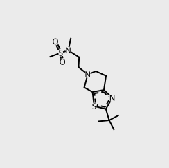 CN(CCN1CCc2nc(C(C)(C)C)sc2C1)S(C)(=O)=O